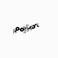 CCN(C)Cc1ccc2nc(C(=O)Nc3nc4cc(-c5cccc(C(F)(F)F)c5)ccc4[nH]3)cn2c1